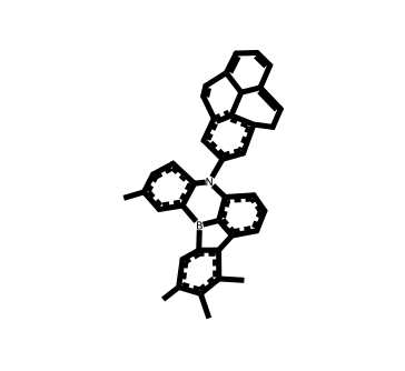 Cc1ccc2c(c1)B1c3cc(C)c(C)c(C)c3-c3cccc(c31)N2c1cc2c3c(c1)CC=C1C=CC=C(C=C2)C13